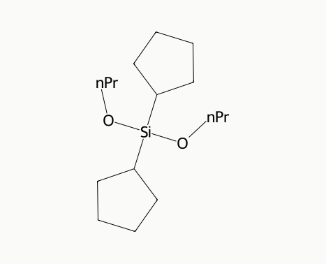 CCCO[Si](OCCC)(C1CCCC1)C1CCCC1